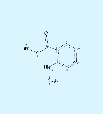 CC(C)OC(=O)c1ccccc1NC(=O)O